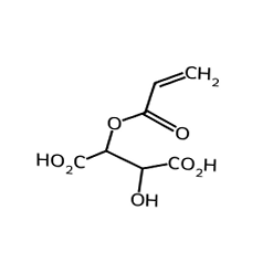 C=CC(=O)OC(C(=O)O)C(O)C(=O)O